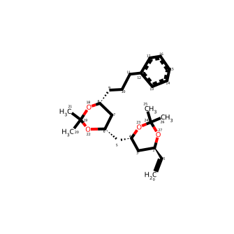 C=C[C@H]1C[C@H](C[C@H]2C[C@@H](CCCc3ccccc3)OC(C)(C)O2)OC(C)(C)O1